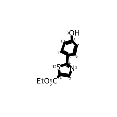 CCOC(=O)c1cnc(-c2ccc(O)cc2)s1